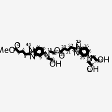 COC(=O)CCCc1nc2cc(N(CCO)CCOC(=O)CCCc3nc4cc(N(CCO)CCO)ccc4n3C)ccc2n1C